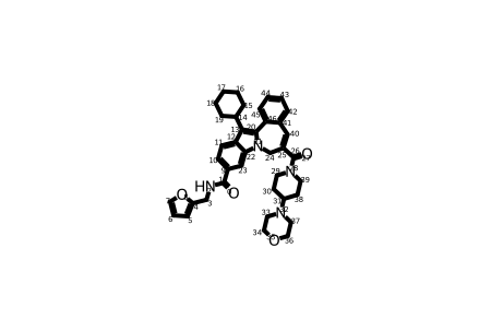 O=C(NCc1ccco1)c1ccc2c(C3CCCCC3)c3n(c2c1)CC(C(=O)N1CCC(N2CCOCC2)CC1)=Cc1ccccc1-3